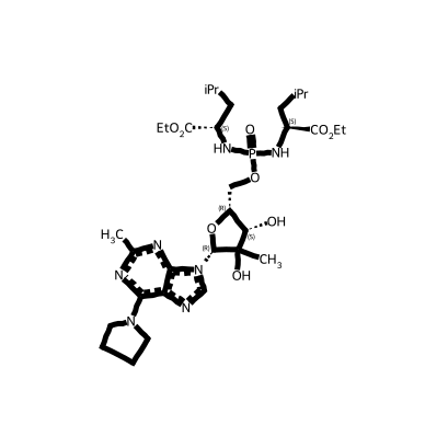 CCOC(=O)[C@H](CC(C)C)NP(=O)(N[C@@H](CC(C)C)C(=O)OCC)OC[C@H]1O[C@@H](n2cnc3c(N4CCCC4)nc(C)nc32)C(C)(O)[C@H]1O